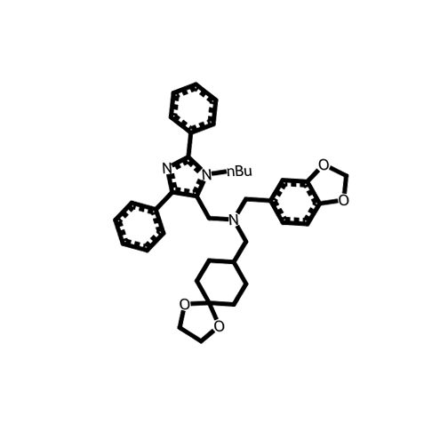 CCCCn1c(-c2ccccc2)nc(-c2ccccc2)c1CN(Cc1ccc2c(c1)OCO2)CC1CCC2(CC1)OCCO2